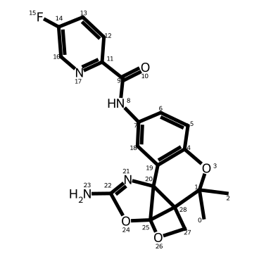 CC1(C)Oc2ccc(NC(=O)c3ccc(F)cn3)cc2C23N=C(N)OC24OCC143